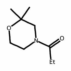 CCC(=O)N1CCOC(C)(C)C1